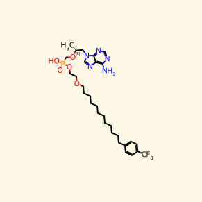 C[C@H](Cn1cnc2c(N)ncnc21)OCP(=O)(O)OCCOCCCCCCCCCCCCc1ccc(C(F)(F)F)cc1